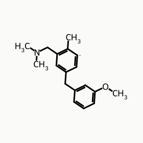 COc1cccc(Cc2c[c]c(C)c(CN(C)C)c2)c1